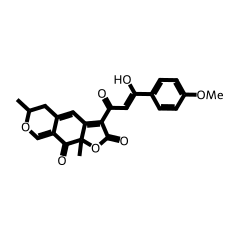 COc1ccc(C(O)=CC(=O)C2=C3C=C4CC(C)OC=C4C(=O)C3(C)OC2=O)cc1